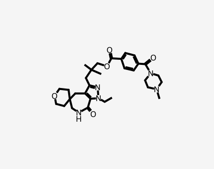 CCn1nc(CC(C)(C)COC(=O)c2ccc(C(=O)N3CCN(C)CC3)cc2)c2c1C(=O)NCC1(CCOCC1)C2